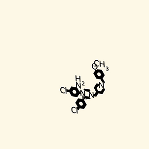 COc1ccc(CN2CCC(CN3CCN(c4ccc(Cl)cc4N)[C@H](c4ccc(Cl)cc4)C3)CC2)cc1